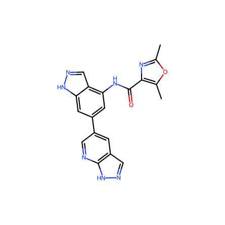 Cc1nc(C(=O)Nc2cc(-c3cnc4[nH]ncc4c3)cc3[nH]ncc23)c(C)o1